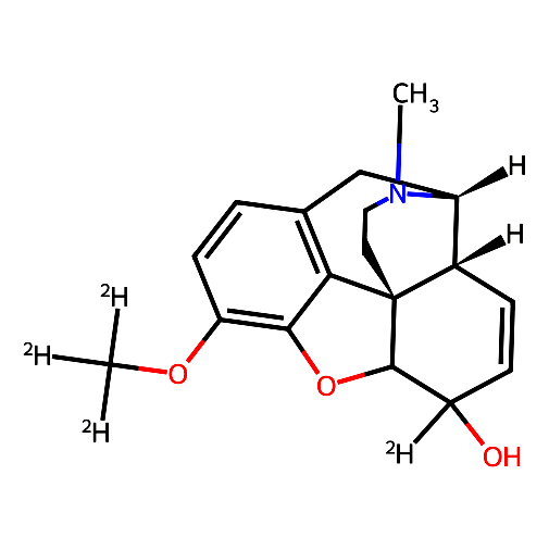 [2H]C([2H])([2H])Oc1ccc2c3c1OC1C([2H])(O)C=C[C@H]4[C@@H](C2)N(C)CC[C@]314